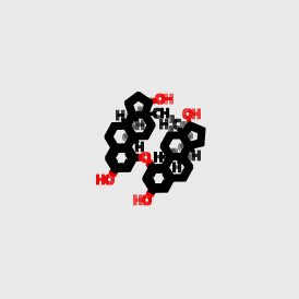 C[C@]12CC[C@@H]3c4c(cc(O)cc4Oc4cc(O)cc5c4[C@H]4CC[C@]6(C)[C@H](O)CC[C@H]6[C@@H]4CC5)CC[C@H]3[C@@H]1CC[C@H]2O